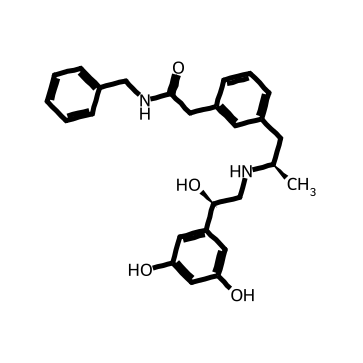 C[C@H](Cc1cccc(CC(=O)NCc2ccccc2)c1)NC[C@H](O)c1cc(O)cc(O)c1